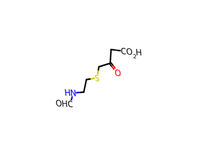 O=CNCCSCC(=O)CC(=O)O